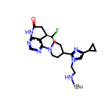 CC(C)(C)NCCn1cc(C2CC2)nc1C1CCN(c2ncnc3c2[C@H](C(F)F)CC(=O)N3)CC1